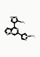 Cn1cc(-c2cn3nccc3c(-c3c[nH]nc3N)n2)cn1